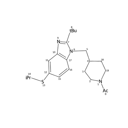 CC(=O)N1CCC(Cn2c(C(C)(C)C)nc3cc(SC(C)C)ccc32)CC1